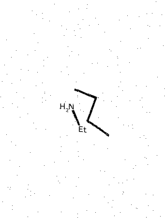 CCN.C[CH]CC